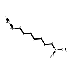 C[S@@+]([O-])CCCCCCCN=C=S